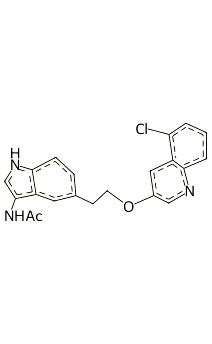 CC(=O)Nc1c[nH]c2ccc(CCOc3cnc4cccc(Cl)c4c3)cc12